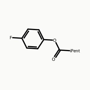 CCCC(C)C(=O)Oc1ccc(F)cc1